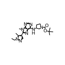 CCn1ncc(-c2nc3c(N[C@H]4CCN(C(=O)OC(C)(C)C)C4)ncnc3n2C)c1C